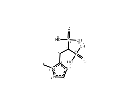 Cn1ncnc1CC(P(=O)(O)O)P(=O)(O)O